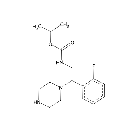 CC(C)OC(=O)NCC(c1ccccc1F)N1CCNCC1